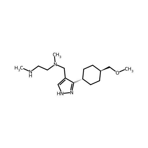 CNCCN(C)Cc1c[nH]nc1[C@H]1CC[C@H](COC)CC1